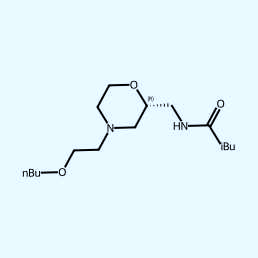 CCCCOCCN1CCO[C@H](CNC(=O)C(C)CC)C1